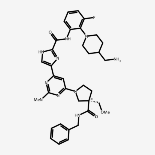 CNc1nc(-c2c[nH]c(C(=O)Nc3cccc(F)c3N3CCC(CN)CC3)n2)cc(N2CC[C@@](COC)(C(=O)NCc3ccccc3)C2)n1